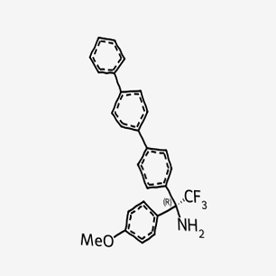 COc1ccc([C@](N)(c2ccc(-c3ccc(-c4ccccc4)cc3)cc2)C(F)(F)F)cc1